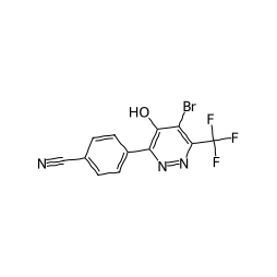 N#Cc1ccc(-c2nnc(C(F)(F)F)c(Br)c2O)cc1